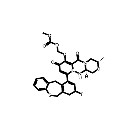 COC(=O)OCOc1c2n(c(C3=CC(F)CC4=C3Cc3ccccc3SC4)cc1=O)N[C@@H]1CO[C@@H](C)CN1C2=O